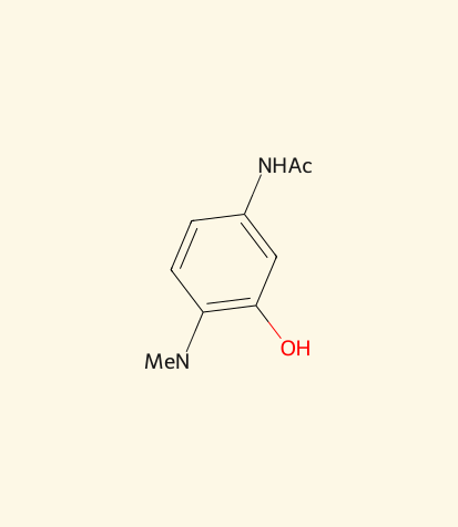 CNc1ccc(NC(C)=O)cc1O